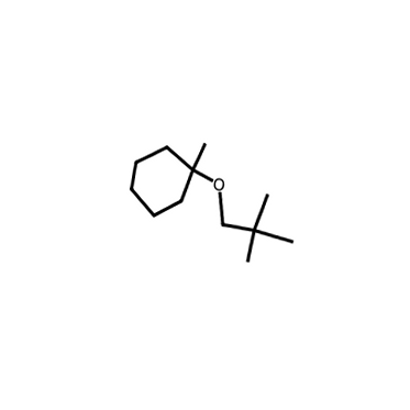 CC(C)(C)COC1(C)CCCCC1